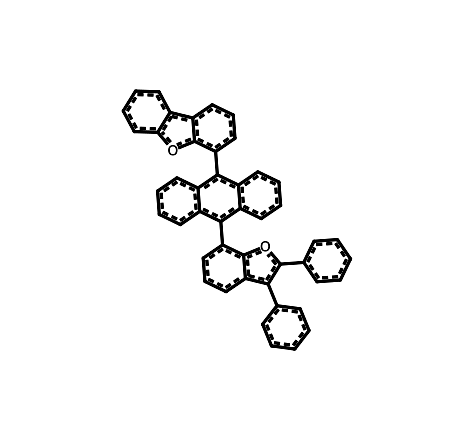 c1ccc(-c2oc3c(-c4c5ccccc5c(-c5cccc6c5oc5ccccc56)c5ccccc45)cccc3c2-c2ccccc2)cc1